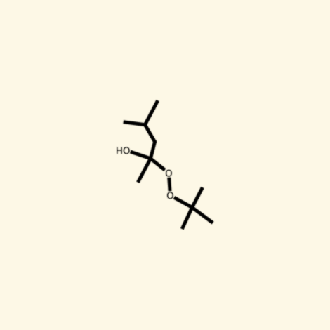 CC(C)CC(C)(O)OOC(C)(C)C